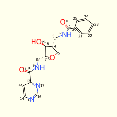 O=C(NC[C@@H]1CO[C@H](CNC(=O)c2ccncn2)[C@H]1O)c1ccccc1